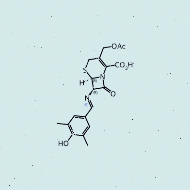 CC(=O)OCC1=C(C(=O)O)N2C(=O)[C@@H](/N=C/c3cc(C)c(O)c(C)c3)[C@H]2SC1